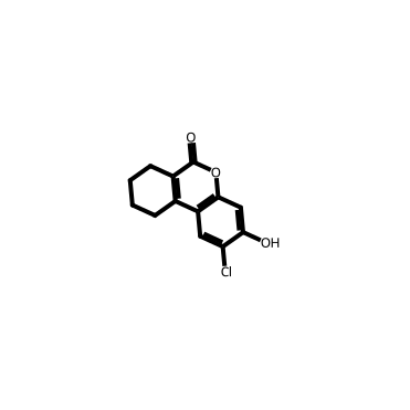 O=c1oc2cc(O)c(Cl)cc2c2c1CCCC2